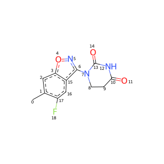 Cc1cc2onc(N3CCC(=O)NC3=O)c2cc1F